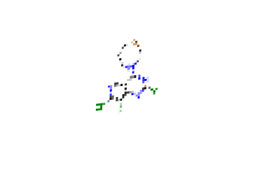 Fc1c(Cl)ncc2c(N3CCCSCC3)nc(Cl)nc12